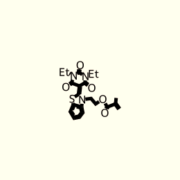 C=C(C)C(=O)OCCN1C(=C2C(=O)N(CC)C(=O)N(CC)C2=O)Sc2ccccc21